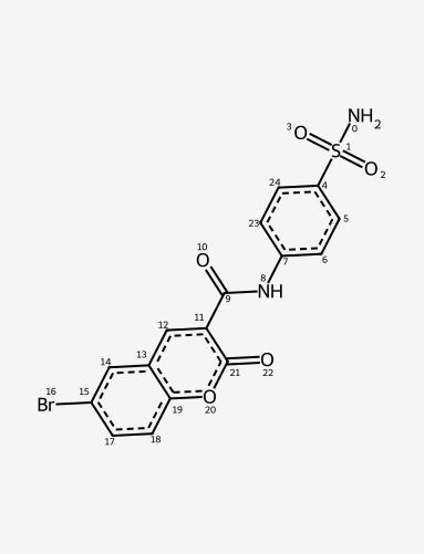 NS(=O)(=O)c1ccc(NC(=O)c2cc3cc(Br)ccc3oc2=O)cc1